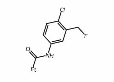 CCC(=O)Nc1ccc(Cl)c(CF)c1